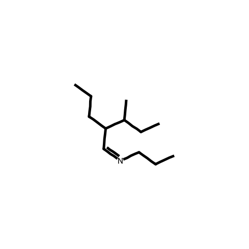 CCC/N=C\C(CCC)C(C)CC